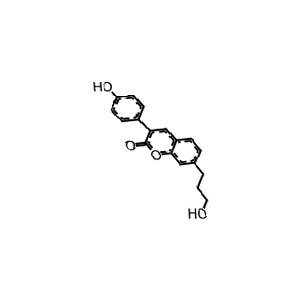 O=c1oc2cc(CCCO)ccc2cc1-c1ccc(O)cc1